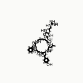 CC[C@H](C)[C@@H]1NC(=O)[C@H](NC(=O)N[C@@H](CCCNC(=N)N)C(=O)O)CCCCNC(=O)[C@H](Cc2ccccc2)NC(=O)[C@H](C)N(C)C(=O)[C@H](CCc2ccc(O)cc2)NC1=O